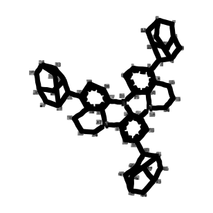 c1cc(C2C3CC4CC(C3)CC2C4)c2c3c1B1c4ccc(C5C6CC7CC(C6)CC5C7)c5c4N(CCC5)c4cc(C5C6CC7CC(C6)CC5C7)cc(c41)N3CCC2